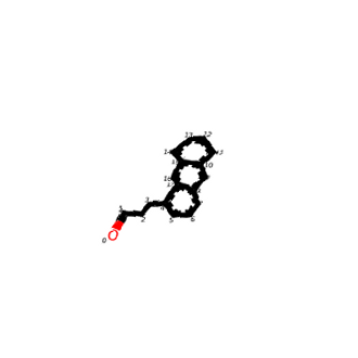 O=CCCc1cccc2cc3ccccc3cc12